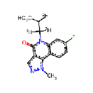 [2H]C(C(=O)O)C([2H])([2H])n1c(=O)c2cnn(C)c2c2ccc(F)cc21